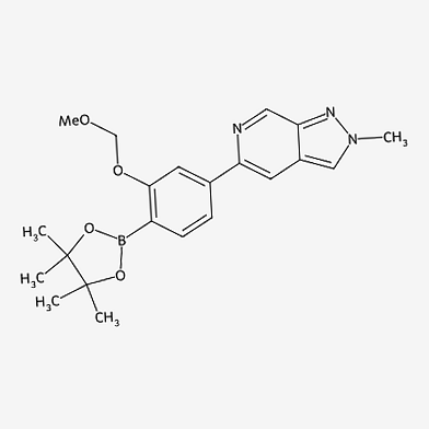 COCOc1cc(-c2cc3cn(C)nc3cn2)ccc1B1OC(C)(C)C(C)(C)O1